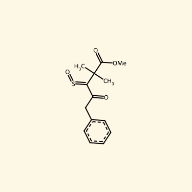 COC(=O)C(C)(C)C(=S=O)C(=O)Cc1ccccc1